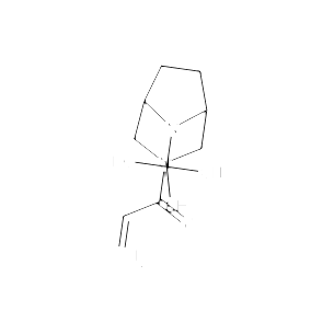 C=CC(=O)N1CC2CCC(C1)N2C(C)(C)C